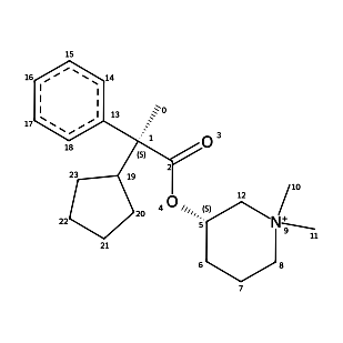 C[C@@](C(=O)O[C@H]1CCC[N+](C)(C)C1)(c1ccccc1)C1CCCC1